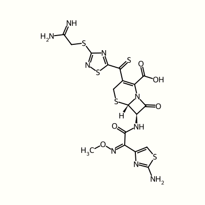 CO/N=C(\C(=O)N[C@@H]1C(=O)N2C(C(=O)O)=C(C(=S)c3nc(SCC(=N)N)ns3)CS[C@@H]12)c1csc(N)n1